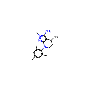 CCCC1CCN(c2c(C)cc(C)cc2C)c2nn(C)c(N)c21